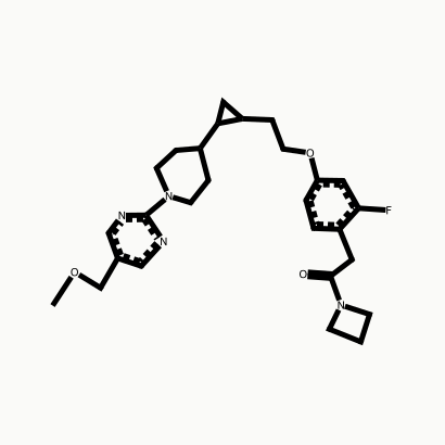 COCc1cnc(N2CCC(C3CC3CCOc3ccc(CC(=O)N4CCC4)c(F)c3)CC2)nc1